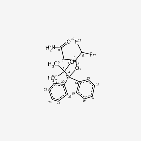 CC(C)(C)[Si](OC(CC(N)=O)C(F)F)(c1ccccc1)c1ccccc1